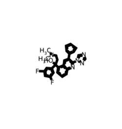 CN(C)CCC(O)(c1cc(F)cc(F)c1)c1cccc2nc(-n3cncn3)c(-c3ccccc3)cc12